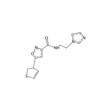 O=C(NCCn1ccnc1)c1cc(C2C=CSC2)on1